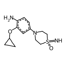 N=S1(=O)CCN(c2ccc(N)c(OC3CC3)c2)CC1